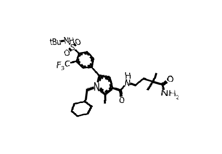 Cc1c(C(=O)NCCC(C)(C)C(N)=O)cc(-c2ccc(S(=O)(=O)NC(C)(C)C)c(C(F)(F)F)c2)n1CC1CCCCC1